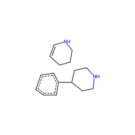 C1=CNCCC1.c1ccc(C2CCNCC2)cc1